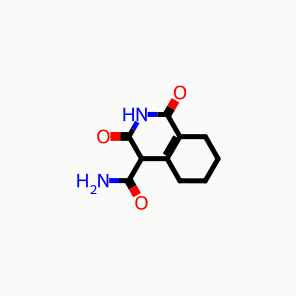 NC(=O)C1C(=O)NC(=O)C2=C1CCCC2